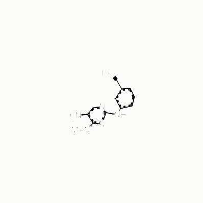 C#Cc1cccc(Nc2ncc([N+](=O)[O-])c(NC)n2)c1